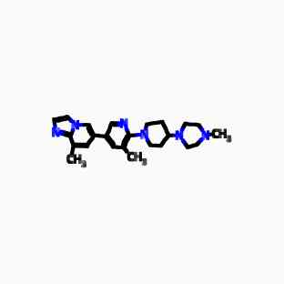 Cc1cc(-c2cc(C)c3nccn3c2)cnc1N1CCC(N2CCN(C)CC2)CC1